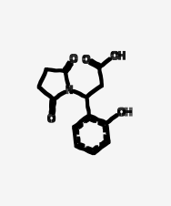 O=C(O)CC(c1ccccc1O)N1C(=O)CCC1=O